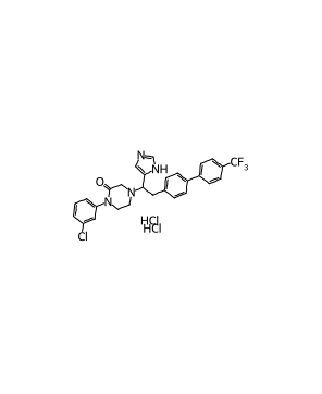 Cl.Cl.O=C1CN(C(Cc2ccc(-c3ccc(C(F)(F)F)cc3)cc2)c2cnc[nH]2)CCN1c1cccc(Cl)c1